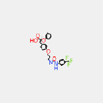 CN(CCCOc1ccc(C[C@](C)(Oc2ccccc2)C(=O)O)cc1)C(=O)Nc1ccc(C(F)(F)F)cc1